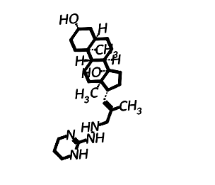 C/C(=C\[C@H]1CC[C@]2(O)[C@@H]3CC[C@@H]4C[C@@H](O)CC[C@]4(C)[C@H]3CC[C@]12C)CNNC1=NCCCN1